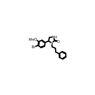 COc1cc(C2CNC(=O)N2CCCc2ccccc2)ccc1Br